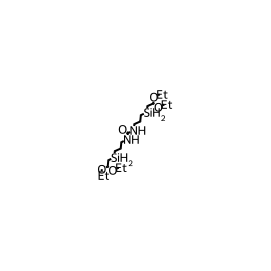 CCOC(C[SiH2]CCCNC(=O)NCCC[SiH2]CC(OCC)OCC)OCC